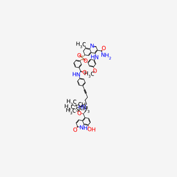 COc1cccc(Nc2c(C(N)=O)cnc3c2=CC(S(=O)(=O)c2cccc(C(=O)Nc4ccc(C#CCCCNC[C@H](O[Si](C)(C)C(C)(C)C)c5ccc(O)c6[nH]c(=O)ccc56)cc4)c2)CC=3C)c1